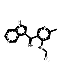 Cc1cc(NCC(F)(F)F)c(C(=N)c2c[nH]c3ccncc23)cn1